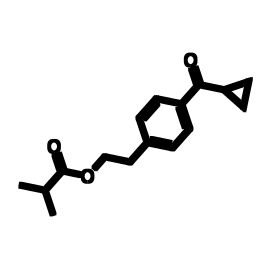 CC(C)C(=O)OCCc1ccc(C(=O)C2CC2)cc1